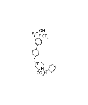 O=C(O)C1CN(Cc2ccc(-c3ccc(C(O)(C(F)(F)F)C(F)(F)F)cc3)cc2)CCN1Cc1ccncc1